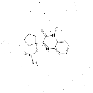 Cn1c(=O)c(C2(OC(N)=O)CCCC2)nc2ccccc21